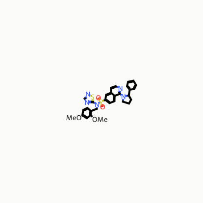 COc1ccc(CN(c2ncns2)S(=O)(=O)c2ccc3c(N4CCCC4c4ccccc4)nccc3c2)c(OC)c1